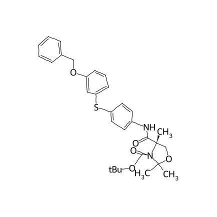 CC(C)(C)OC(=O)N1C(C)(C)OC[C@@]1(C)C(=O)Nc1ccc(Sc2cccc(OCc3ccccc3)c2)cc1